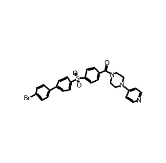 O=C(c1ccc(S(=O)(=O)c2ccc(-c3ccc(Br)cc3)cc2)cc1)N1CCN(c2ccncc2)CC1